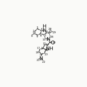 Cc1ccc2[nH]c3c(c2c1)CN(C(=O)c1cc2ccc(N(C)C)cc2[nH]1)CC31CC1